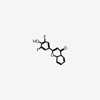 O=C1C=C(c2cc(F)c(O)c(F)c2)OC2C=CC=CC12